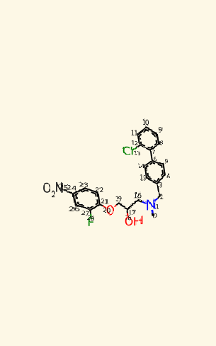 CN(Cc1ccc(-c2ccccc2Cl)cc1)CC(O)COc1ccc([N+](=O)[O-])cc1F